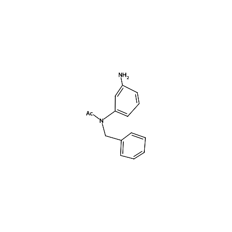 CC(=O)N(Cc1ccccc1)c1cccc(N)c1